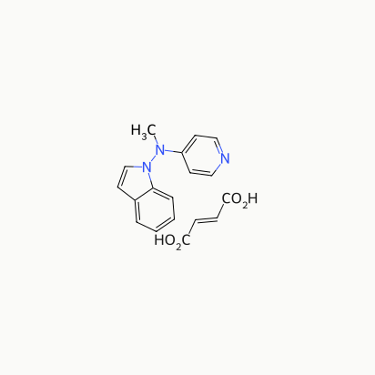 CN(c1ccncc1)n1ccc2ccccc21.O=C(O)C=CC(=O)O